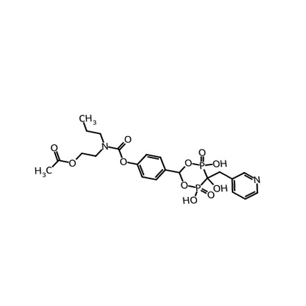 CCCN(CCOC(C)=O)C(=O)Oc1ccc(C2OP(=O)(O)C(O)(Cc3cccnc3)P(=O)(O)O2)cc1